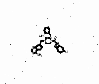 Nc1ncnc2cc(CN3CCN(C(=O)c4cc5ccc(Cl)cc5s4)[C@@H](Cc4ccccc4)C3C=O)ccc12